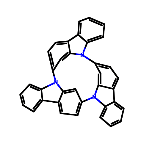 c1ccc2c(c1)c1ccc3cc1n2c1ccc2c4ccccc4n(c4ccc5c6ccccc6n3c5c4)c2c1